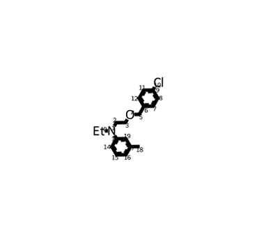 CCN(CCOCc1ccc(Cl)cc1)c1cccc(C)c1